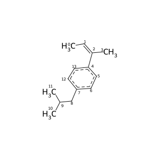 C/C=C(/C)c1ccc(CC(C)C)cc1